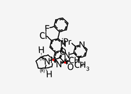 C=CC(=O)N1C[C@H]2CC[C@@H](C1)N2c1nc(=O)n(-c2c(C)ccnc2C(C)C)c2nc(-c3ccccc3F)c(Cl)cc12